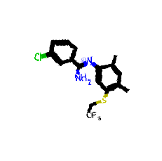 Cc1cc(C)c(SCC(F)(F)F)cc1/N=C(\N)c1cccc(Cl)c1